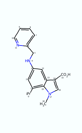 CC(C)c1cc(NCc2ccccn2)cc2c(C(=O)O)cn(C)c12